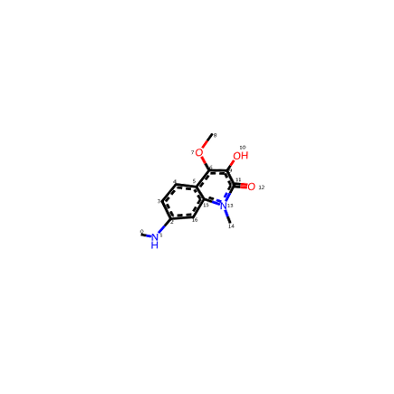 CNc1ccc2c(OC)c(O)c(=O)n(C)c2c1